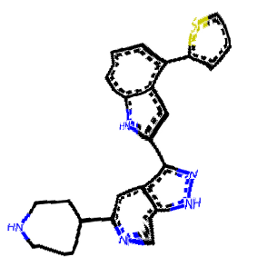 c1csc(-c2cccc3[nH]c(-c4n[nH]c5cnc(C6CCNCC6)cc45)cc23)c1